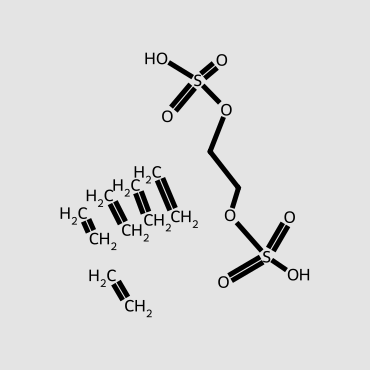 C=C.C=C.C=C.C=C.C=C.O=S(=O)(O)OCCOS(=O)(=O)O